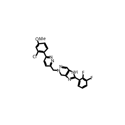 COc1ccc(-c2ccc(CN3Cc4nc(-c5cccc(F)c5F)[nH]c4C=N3)nn2)c(Cl)c1